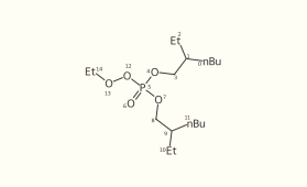 CCCCC(CC)COP(=O)(OCC(CC)CCCC)OOCC